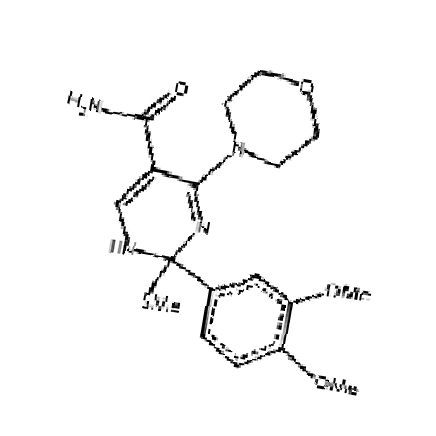 COc1ccc(C2(SC)N=C(N3CCOCC3)C(C(N)=O)=CN2)cc1OC